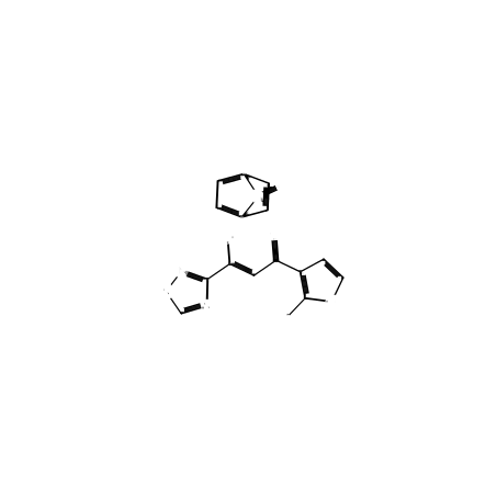 O=C(C=C(O)c1nc[nH]n1)c1ccoc1Cl.O=S1(=O)C2=CC=C1C=C2